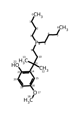 CCCCP(CCCC)CCC(C)(C)c1cc(OC)ccc1O